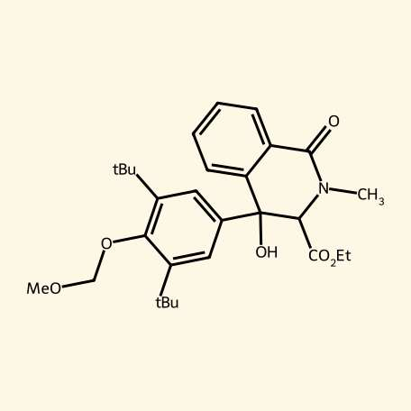 CCOC(=O)C1N(C)C(=O)c2ccccc2C1(O)c1cc(C(C)(C)C)c(OCOC)c(C(C)(C)C)c1